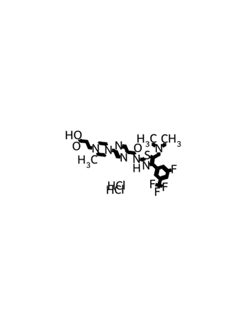 CCN(CC)Cc1sc(NC(=O)c2cnc(N3CCN(CCC(=O)O)[C@H](C)C3)cn2)nc1-c1cc(F)cc(C(F)(F)F)c1.Cl.Cl